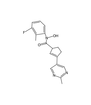 Cc1ncc(C2=CC(C(=O)N(O)c3cccc(F)c3C)CC2)cn1